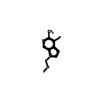 Cc1ncc2c(ccn2SOI)c1F